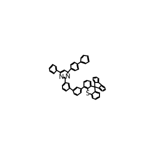 c1ccc(-c2ccc(-c3cc(-c4ccccc4)nc(-c4cccc(-c5cccc(-c6cccc7c6Sc6ccccc6C76c7ccccc7-c7ccccc76)c5)c4)n3)cc2)cc1